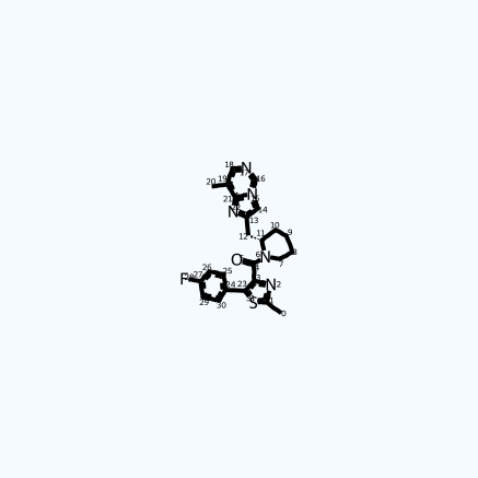 Cc1nc(C(=O)N2CCCC[C@H]2Cc2cn3cncc(C)c3n2)c(-c2ccc(F)cc2)s1